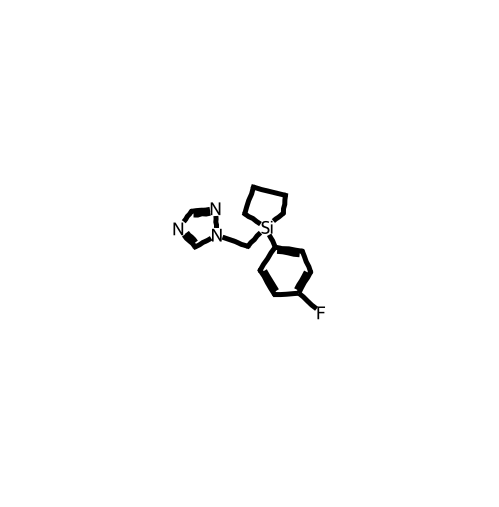 Fc1ccc([Si]2(Cn3cncn3)CCCC2)cc1